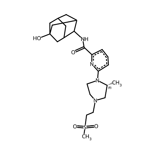 C[C@@H]1CN(CCS(C)(=O)=O)CCN1c1cccc(C(=O)NC2C3CC4CC2CC(O)(C4)C3)n1